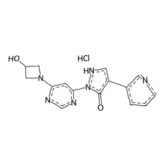 Cl.O=c1c(-c2cccnc2)c[nH]n1-c1cc(N2CC(O)C2)ncn1